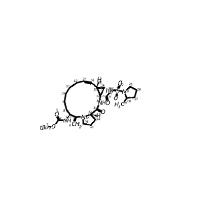 C=C1[C@@H](NC(=O)OC(C)(C)C)CCCCC/C=C\[C@@H]2C[C@@]2(C(=O)NS(=O)(=O)N2CCCC2C)NC(=O)[C@@H]2CCCN12